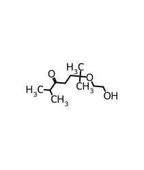 CC(C)C(=O)CCC(C)(C)OCCO